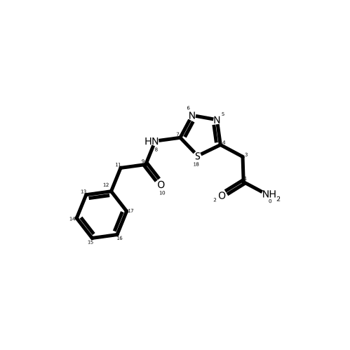 NC(=O)Cc1nnc(NC(=O)Cc2ccccc2)s1